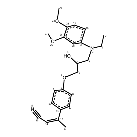 CCN(CC(O)COc1ccc(/C(C)=C\C#N)cc1)c1ccc(OC)c(OC)c1